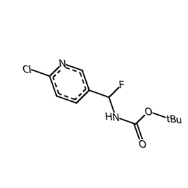 CC(C)(C)OC(=O)NC(F)c1ccc(Cl)nc1